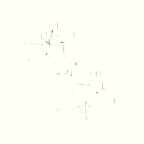 CCC1(C)CC(N2C(=O)C3C(C2=O)C2(Cl)C(Cl)=C(Cl)C3(Cl)C2(Cl)Cl)C(C)C(C)(CC)N1